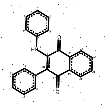 O=C1C(Nc2ccccc2)=C(c2ccccc2)C(=O)c2ccccc21